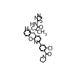 CC(C)(C(=O)Nc1nncs1)[C@H]1c2ccccc2Oc2nc(-c3ccc(C(=O)N4CCCC4)c(Cl)c3)ccc21